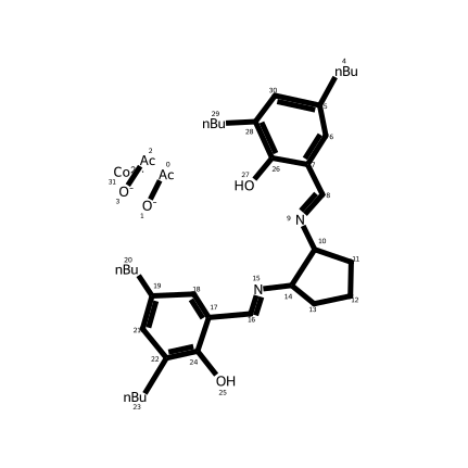 CC(=O)[O-].CC(=O)[O-].CCCCc1cc(C=NC2CCCC2N=Cc2cc(CCCC)cc(CCCC)c2O)c(O)c(CCCC)c1.[Co+2]